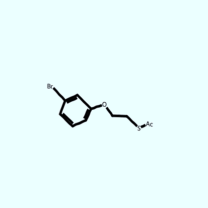 CC(=O)SCCOc1cccc(Br)c1